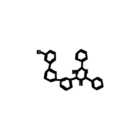 Clc1cccc(-c2cccc(-c3cccc(C4NC(c5ccccc5)=NC(c5ccccc5)N4)c3)c2)c1